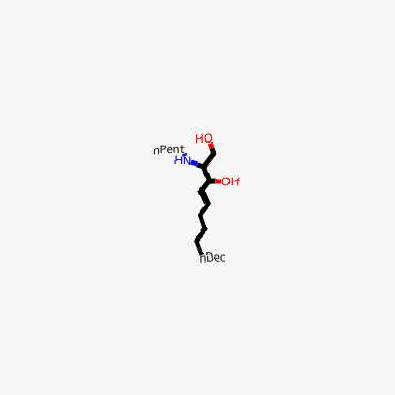 CCCCCCCCCCCCCC=CC(O)C(CO)NCCCCC